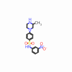 CC1CN(c2ccc(S(=O)(=O)Nc3cccc([N+](=O)[O-])c3)cc2)CCN1